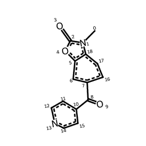 Cn1c(=O)oc2cc(C(=O)c3ccncc3)ccc21